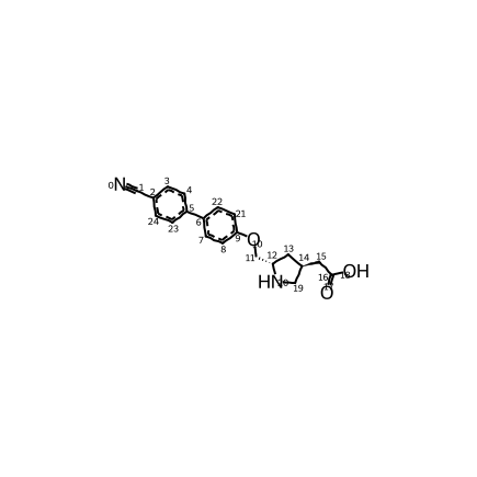 N#Cc1ccc(-c2ccc(OC[C@@H]3C[C@@H](CC(=O)O)CN3)cc2)cc1